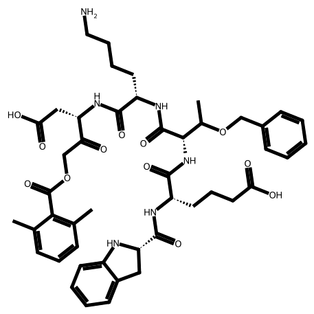 Cc1cccc(C)c1C(=O)OCC(=O)[C@H](CC(=O)O)NC(=O)[C@H](CCCCN)NC(=O)[C@@H](NC(=O)[C@H](CCCC(=O)O)NC(=O)[C@@H]1Cc2ccccc2N1)C(C)OCc1ccccc1